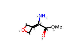 COC(=O)C(N)=C1COC1